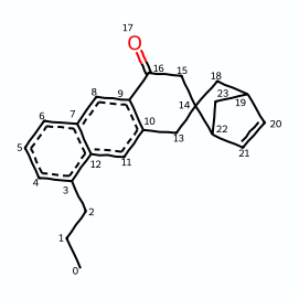 CCCc1cccc2cc3c(cc12)CC1(CC3=O)CC2C=CC1C2